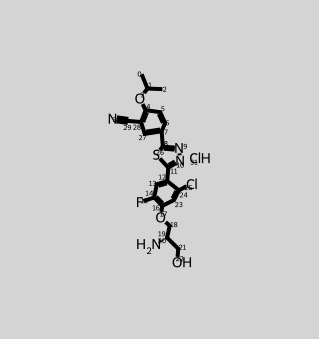 CC(C)Oc1ccc(-c2nnc(-c3cc(F)c(OC[C@@H](N)CO)cc3Cl)s2)cc1C#N.Cl